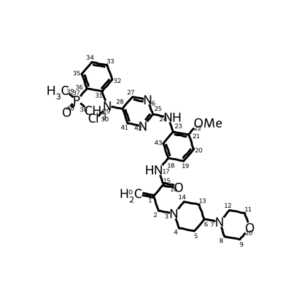 C=C(CN1CCC(N2CCOCC2)CC1)C(=O)Nc1ccc(OC)c(Nc2ncc(N(Cl)c3ccccc3P(C)(C)=O)cn2)c1